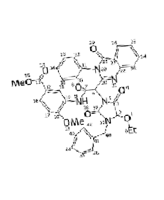 CCOC1C(=O)N(C(C(=O)Nc2cc(C(=O)OC)ccc2OC)c2nc3ccccc3c(=O)n2-c2ccccc2)C(=O)N1Cc1ccccc1